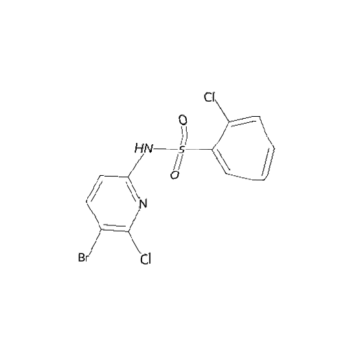 O=S(=O)(Nc1ccc(Br)c(Cl)n1)c1ccccc1Cl